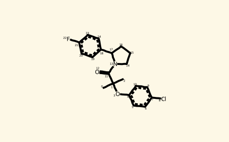 CC(C)(Oc1ccc(Cl)cc1)C(=O)N1CCCC1c1ccc(F)cc1